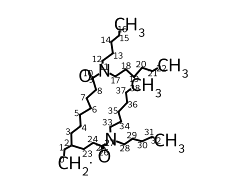 [CH2]CC(CCCCCCC(=O)N(CCCCC)CCCCCC)CCC(=O)N(CCCCC)CCCCCC